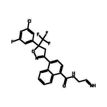 N=CCNC(=O)c1ccc(C2=NOC(c3cc(F)cc(Cl)c3)(C(F)(F)F)C2)c2ccccc12